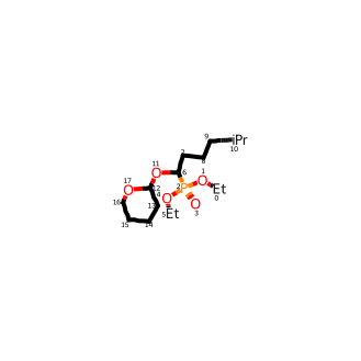 CCOP(=O)(OCC)C(CCCC(C)C)OC1CCCCO1